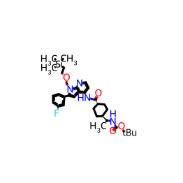 CC(NC(=O)OC(C)(C)C)[C@H]1CC[C@H](C(=O)Nc2ccnc3c2cc(-c2cccc(F)c2)n3COCC[Si](C)(C)C)CC1